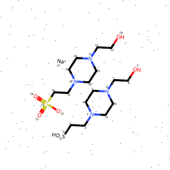 O=S(=O)(O)CCN1CCN(CCO)CC1.O=S(=O)([O-])CCN1CCN(CCO)CC1.[Na+]